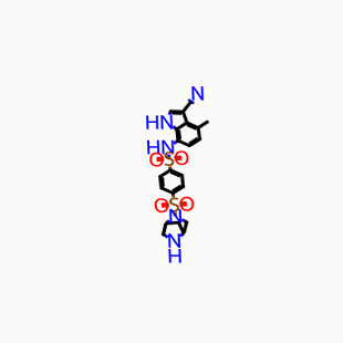 Cc1ccc(NS(=O)(=O)c2ccc(S(=O)(=O)N3CC4CC3CN4)cc2)c2[nH]cc(C#N)c12